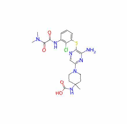 CN(C)C(=O)C(=O)Nc1cccc(Sc2ncc(N3CCC(C)(NC(=O)O)CC3)nc2N)c1Cl